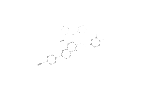 N#Cc1ccc(-c2ccc3nc(NCc4ccc(F)c(F)c4)cc(C(=O)N4CCC[C@H]4CN4CCCC4)c3c2)cc1